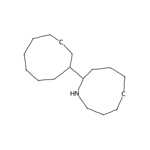 C1CCCCC(C2CCCCCCCN2)CCC1